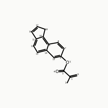 C=C(C)C(=O)Oc1ccc2c3c(ccc2c1)C=CC3